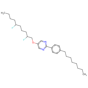 CCCCCCCCc1ccc(-c2ncc(OCC(F)CCCC(F)CCCC)cn2)cc1